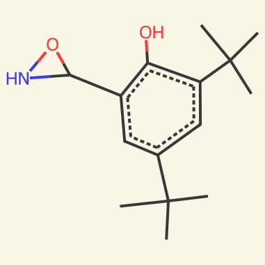 CC(C)(C)c1cc(C2NO2)c(O)c(C(C)(C)C)c1